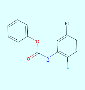 CCc1ccc(F)c(NC(=O)Oc2ccccc2)c1